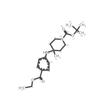 CCOC(=O)c1ccc(NC2(C)CCN(C(=O)OC(C)(C)C)CC2)cc1